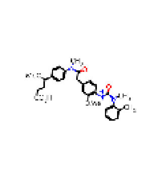 COc1cc(CC(=O)N(C)c2ccc(C(CCC(=O)O)OC)cc2)ccc1NC(=O)N(C)c1ccccc1C